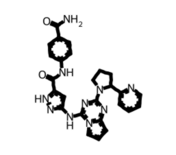 NC(=O)c1ccc(NC(=O)c2cc(Nc3nc(N4CCCC4c4ccccn4)nc4cccn34)n[nH]2)cc1